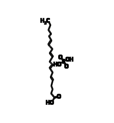 CCCCCC=CCC=CCC=CCC=CCCCC(=O)O.O=S(=O)(O)O